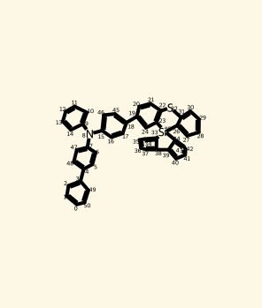 c1ccc(-c2ccc(N(c3ccccc3)c3ccc(-c4ccc5c(c4)[Si]4(c6ccccc6S5)c5ccccc5-c5ccccc54)cc3)cc2)cc1